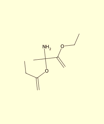 C=C(CC)OC(C)(N)C(=C)OCC